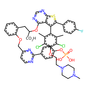 Cc1c(Cl)c(OCCN2CCN(C)CC2)c(Cl)c(C)c1-c1c(-c2ccc(F)cc2)sc2ncnc(OC(Cc3ccccc3OCc3ccnc(-c4ccc(OP(=O)(O)O)cc4)n3)C(=O)O)c12